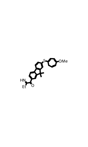 CCC(=N)C(=O)c1ccc2c(c1)C(C)(C)c1cc(SC3=CC=C(OC)C=CC3)ccc1-2